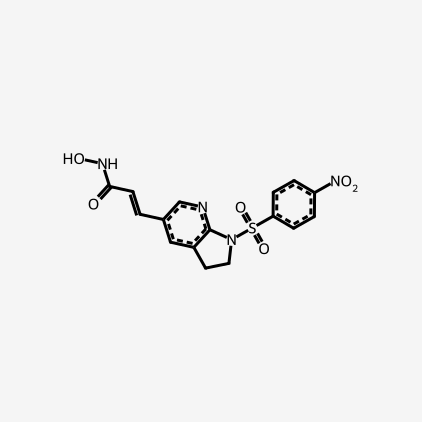 O=C(C=Cc1cnc2c(c1)CCN2S(=O)(=O)c1ccc([N+](=O)[O-])cc1)NO